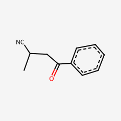 CC(C#N)CC(=O)c1ccccc1